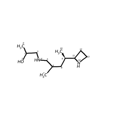 CC(O)CNCC(C)C[C@@H](C)C1CCN1